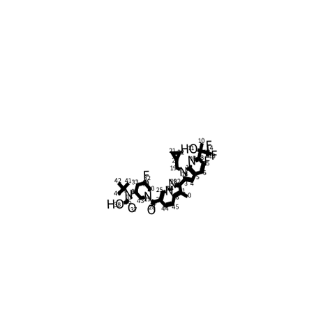 Cc1c(-c2cc3ccc(C(C)(O)C(F)(F)F)nc3n2CC2CC2)nn2cc(C(=O)N3C[C@H](F)C[C@@H](N(C(=O)O)C(C)(C)C)C3)ccc12